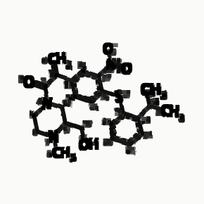 C=C(C(=O)N1CCN(C)C(CO)C1)c1ccc(Sc2ccccc2C(C)C)c([N+](=O)[O-])c1